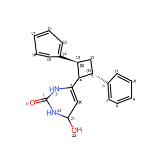 O=C1NC(C2[C@@H](c3ccccc3)C[C@@H]2c2ccccc2)=CC(O)N1